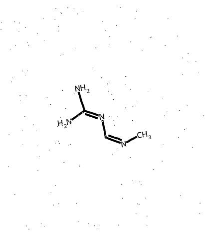 C/N=C\N=C(N)N